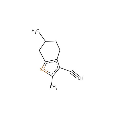 C#Cc1c(C)sc2c1CCC(C)C2